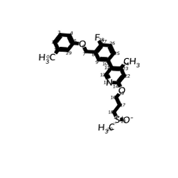 Cc1cccc(OCc2cc(-c3cnc(OCCC[S+](C)[O-])cc3C)ccc2F)c1